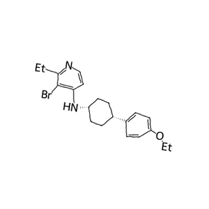 CCOc1ccc([C@H]2CC[C@@H](Nc3ccnc(CC)c3Br)CC2)cc1